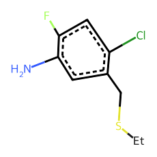 CCSCc1cc(N)c(F)cc1Cl